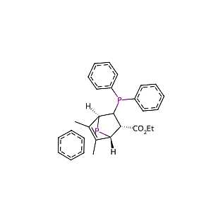 CCOC(=O)[C@H]1C(P(c2ccccc2)c2ccccc2)[C@@H]2C(C)=C(C)[C@@H]1[P@@]2c1ccccc1